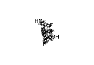 Cc1cc(C(c2ccc(F)cc2)c2ccc3nc4ccc(C(c5ccc(F)cc5)c5cc(C)c(O)c(C)c5)cc4c(-c4ccc(F)cc4)c3c2)cc(C)c1O